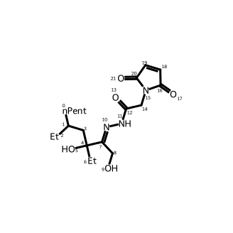 CCCCCC(CC)CC(O)(CC)/C(CO)=N/NC(=O)CN1C(=O)C=CC1=O